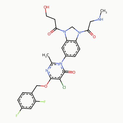 CNCC(=O)N1CN(C(=O)CCO)c2cc(-n3c(C)nc(OCc4ccc(F)cc4F)c(Cl)c3=O)ccc21